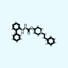 O=C(NNc1ccccc1-c1ccccc1)OC1CCN(CCc2ccccc2)CC1